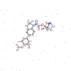 Cc1cc(-c2ccc3c(c2)CC(C)(C)C3NC(=O)O[C@H]2CN3CCC2CC3)cc(C)c1OC(C)C